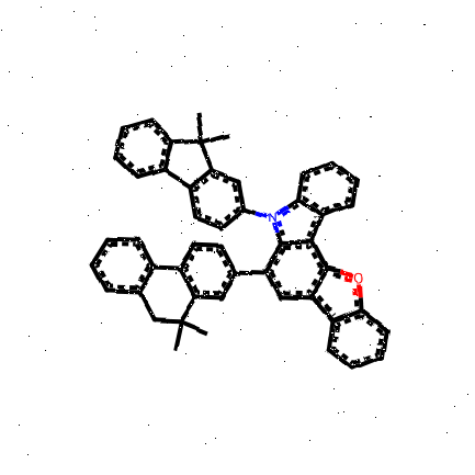 CC1(C)Cc2ccccc2-c2ccc(-c3cc4c5ccccc5oc4c4c5ccccc5n(-c5ccc6c(c5)C(C)(C)c5ccccc5-6)c34)cc21